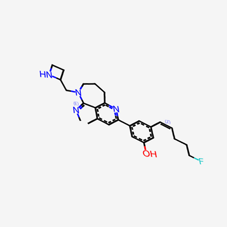 C/N=C1\c2c(C)cc(-c3cc(O)cc(/C=C\CCCF)c3)nc2CCCN1CC1CCN1